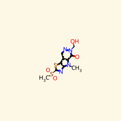 Cn1c2nc(S(C)(=O)=O)sc2c2cnn(CO)c(=O)c21